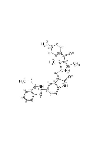 CC[C@H](NC(=O)c1ccc2c(c1)C(=Cc1[nH]c(C)c(C(=O)N3CCN(C)CC3)c1C)C(=O)N2)c1ccccc1